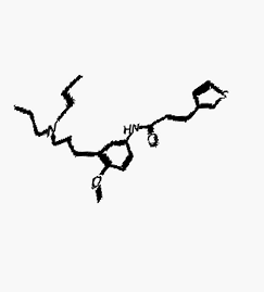 CCCN(CCC)CCCc1cc(NC(=O)C=Cc2ccsc2)ccc1OC